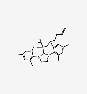 C=CCCCCC(C)(Cl)C1N(c2c(C)cc(C)cc2C)CCN1c1c(C)cc(C)cc1C